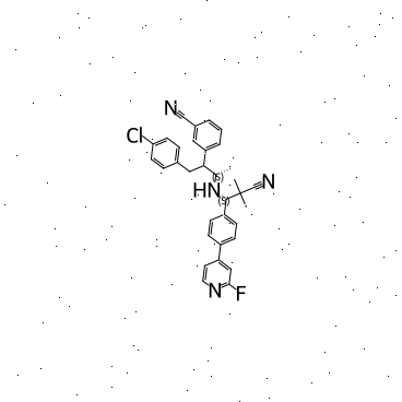 C[C@H](N[C@@H](c1ccc(-c2ccnc(F)c2)cc1)C(C)(C)C#N)C(Cc1ccc(Cl)cc1)c1cccc(C#N)c1